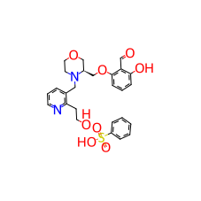 O=Cc1c(O)cccc1OC[C@@H]1COCCN1Cc1cccnc1CCO.O=S(=O)(O)c1ccccc1